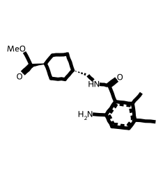 COC(=O)[C@H]1CC[C@H](CNC(=O)c2c(N)ccc(C)c2C)CC1